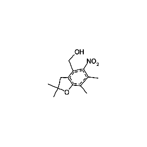 Cc1c(C)c([N+](=O)[O-])c(CO)c2c1OC(C)(C)C2